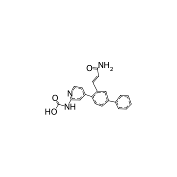 NC(=O)C=Cc1cc(-c2ccccc2)ccc1-c1ccnc(NC(=O)O)c1